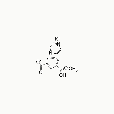 O.O=C([O-])c1cccc(C(=O)O)c1.[K+].c1cnccn1